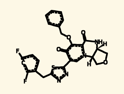 O=C1N[C@H]2COC[C@@H]2n2cc(-c3nnc(Cc4ccc(F)cc4F)s3)c(=O)c(OCc3ccccc3)c21